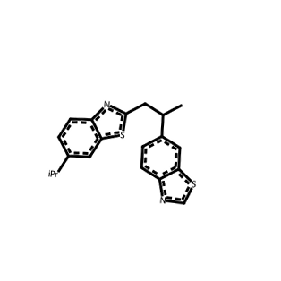 CC(C)c1ccc2nc(CC(C)c3ccc4ncsc4c3)sc2c1